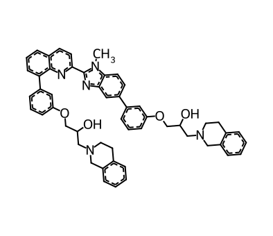 Cn1c(-c2ccc3cccc(-c4cccc(OCC(O)CN5CCc6ccccc6C5)c4)c3n2)nc2cc(-c3cccc(OCC(O)CN4CCc5ccccc5C4)c3)ccc21